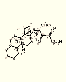 C[C@]12CC[C@H]3[C@@H](CCC4CCCC[C@@]43C)[C@@H]1CC[C@@H]2[C@H](C=O)C(=O)C(=O)C(=O)O